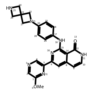 COc1cncc(-c2cc3cc[nH]c(=O)c3c(Nc3ccc(N4CC5(CNC5)C4)cc3)n2)n1